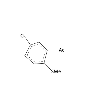 CSc1ccc(Cl)cc1C(C)=O